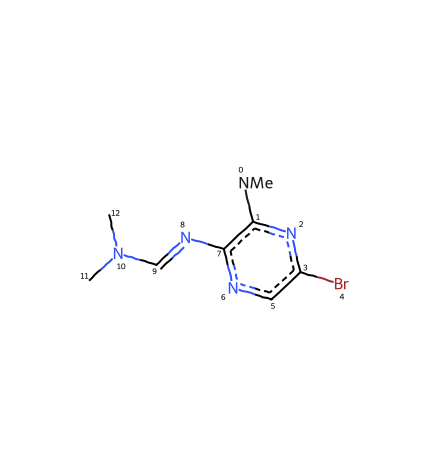 CNc1nc(Br)cnc1N=CN(C)C